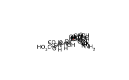 CC(C)(COP(=O)(O)OP(=O)(O)OC[C@H]1O[C@@H](n2cnc3c(N)ncnc32)[C@H](O)[C@@H]1OP(=O)(O)O)[C@@H](O)C(=O)NCCC(=O)NCCSC(=O)C(CCC(=O)O)CC(=O)O